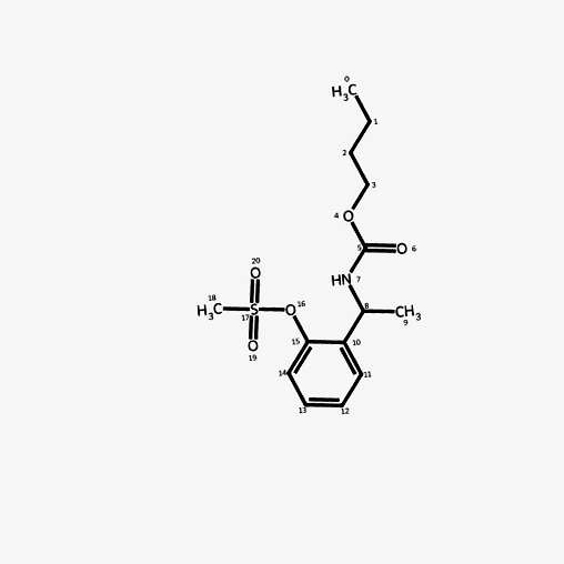 CCCCOC(=O)NC(C)c1ccccc1OS(C)(=O)=O